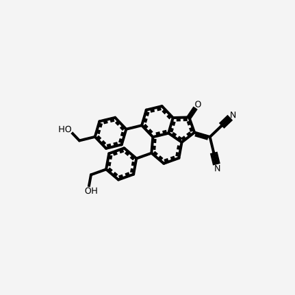 N#CC(C#N)=c1c(=O)c2ccc(-c3ccc(CO)cc3)c3c(-c4ccc(CO)cc4)ccc1c32